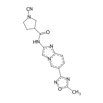 Cc1nc(-c2ccc3nc(NC(=O)C4CCN(C#N)C4)cn3c2)no1